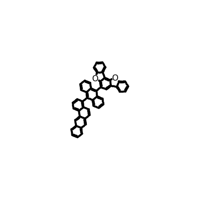 c1ccc2cc3c(ccc4c(-c5c6ccccc6c(-c6cc7c8ccccc8oc7c7c6oc6ccccc67)c6ccccc56)cccc43)cc2c1